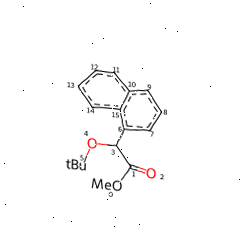 COC(=O)C(OC(C)(C)C)c1cccc2ccccc12